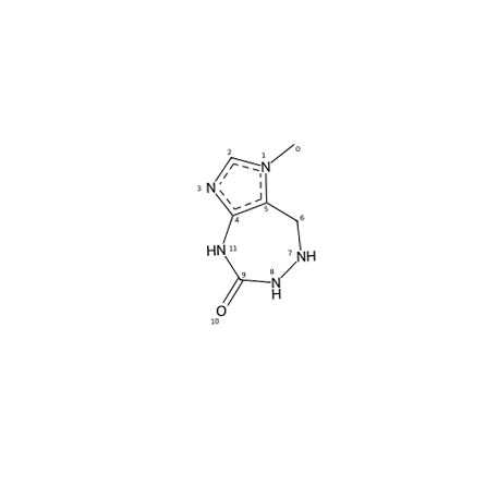 Cn1cnc2c1CNNC(=O)N2